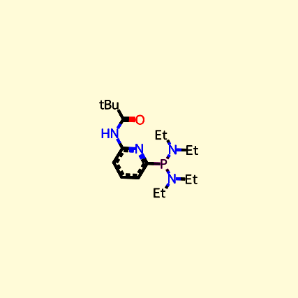 CCN(CC)P(c1cccc(NC(=O)C(C)(C)C)n1)N(CC)CC